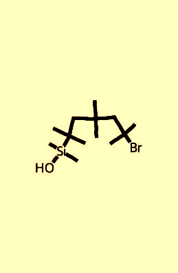 CC(C)(Br)CC(C)(C)CC(C)(C)[Si](C)(C)O